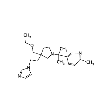 CCOCC1(CCn2ccnc2)CCN(C(C)(C)c2ccc(C)nc2)C1